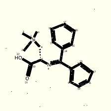 C[Si](C)(C)C[C@H](N=C(c1ccccc1)c1ccccc1)C(=O)O